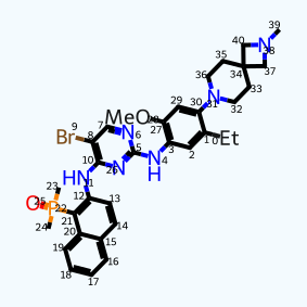 CCc1cc(Nc2ncc(Br)c(Nc3ccc4ccccc4c3P(C)(C)=O)n2)c(OC)cc1N1CCC2(CC1)CN(C)C2